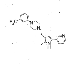 Cc1[nH]c(-c2cccnc2)cc1CCN1CCN(c2cccc(C(F)(F)F)c2)CC1